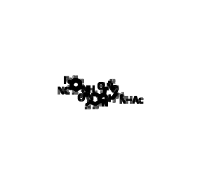 CC(=O)NC[C@@H]1Cn2nc3c(c2C(=O)N(C)O1)CN(C(=O)Nc1ccc(F)c(C#N)c1)[C@H](C)C3